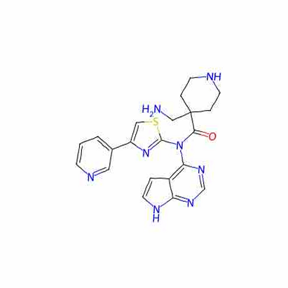 NCC1(C(=O)N(c2nc(-c3cccnc3)cs2)c2ncnc3[nH]ccc23)CCNCC1